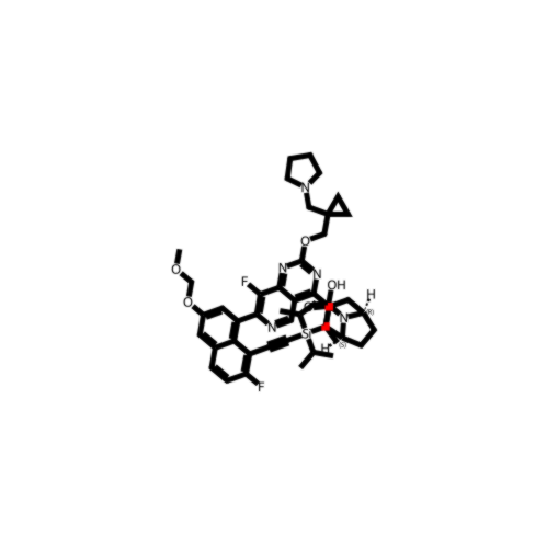 COCOc1cc(-c2ncc3c(N4C[C@H]5CC[C@@H](C4)N5C(=O)O)nc(OCC4(CN5CCCC5)CC4)nc3c2F)c2c(C#C[Si](C(C)C)(C(C)C)C(C)C)c(F)ccc2c1